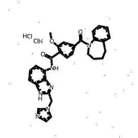 COc1cc(C(=O)N2CCCCc3ccccc32)ccc1C(=O)Nc1cccc2[nH]c(Cn3ccnc3)nc12.Cl.Cl